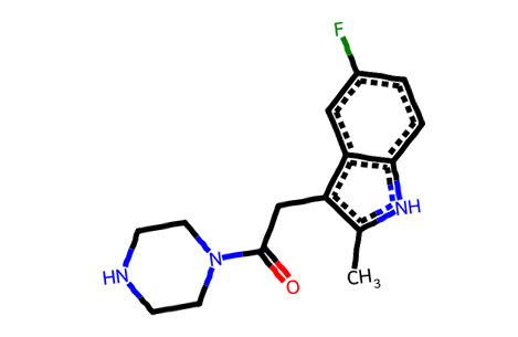 Cc1[nH]c2ccc(F)cc2c1CC(=O)N1CCNCC1